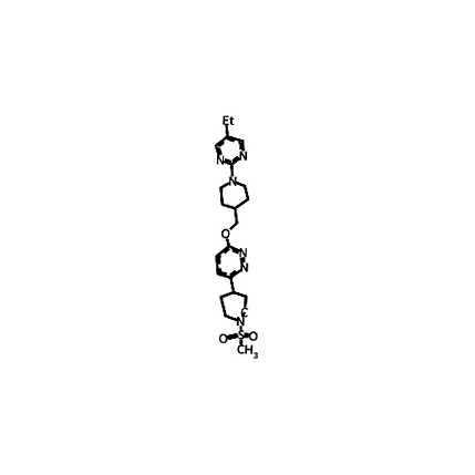 CCc1cnc(N2CCC(COc3ccc(C4CCN(S(C)(=O)=O)CC4)nn3)CC2)nc1